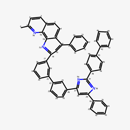 Cc1ccc2ccc3c(-c4ccccc4)cc(-c4cccc(-c5cccc(-c6cc(-c7ccccc7)nc(-c7ccc(-c8ccccc8)cc7)n6)c5)c4)nc3c2n1